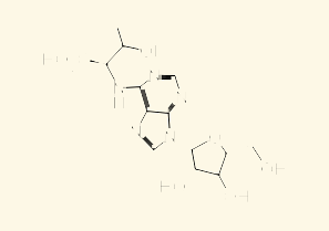 CC(O)[C@@H](Nc1ncnc2c1ncn2[C@@H]1O[C@H](CO)C(O)[C@@H]1O)C(=O)O